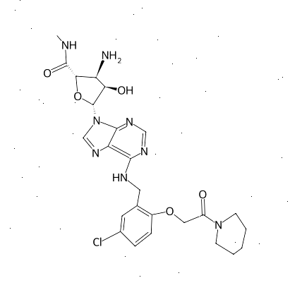 CNC(=O)[C@H]1O[C@@H](n2cnc3c(NCc4cc(Cl)ccc4OCC(=O)N4CCCCC4)ncnc32)[C@H](O)[C@@H]1N